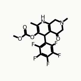 COC(=O)OC1=C(C)NC2=C(C(=O)CN(C)C2)C1c1c(F)c(F)c(F)c(F)c1F